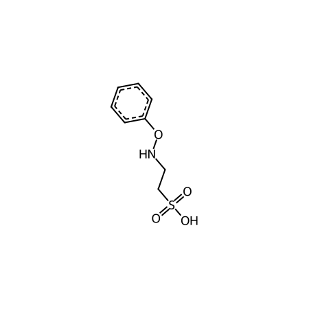 O=S(=O)(O)CCNOc1ccccc1